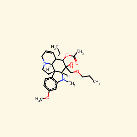 CCCOCC1(O)[C@H](OC(C)=O)[C@]2(CC)C=CCN3CC[C@@]4(c5ccc(OC)cc5N(C)[C@@H]14)[C@@H]32